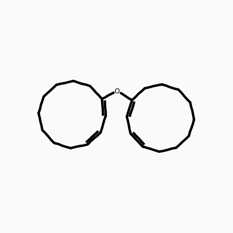 C1=CCCCCCCCCC(OC2=CC=CCCCCCCCC2)=C1